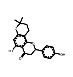 CC1(C)CCc2c(cc(O)c3c2OC(c2ccc(O)cc2)CC3=O)O1